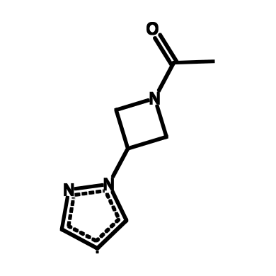 CC(=O)N1CC(n2c[c]cn2)C1